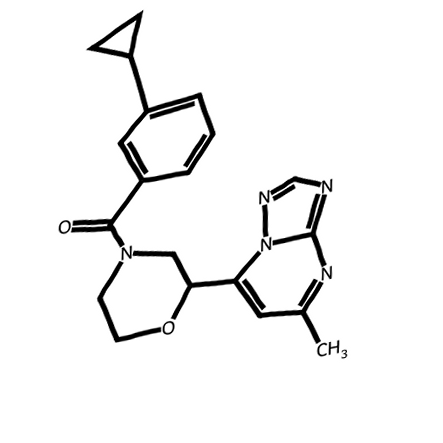 Cc1cc(C2CN(C(=O)c3cccc(C4CC4)c3)CCO2)n2ncnc2n1